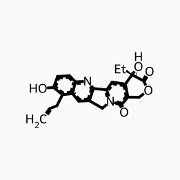 C=CCc1c(O)ccc2nc3c(cc12)Cn1c-3cc2c(c1=O)COC(=O)[C@]2(O)CC